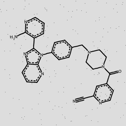 N#Cc1cc(C(=O)N2CCN(Cc3ccc(-n4c(-c5cccnc5N)nc5cccnc54)cc3)CC2)ccn1